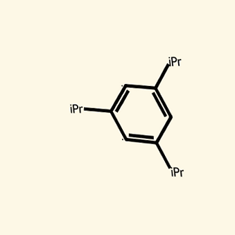 CC(C)c1[c]c(C(C)C)cc(C(C)C)[c]1